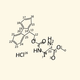 COC(=O)[C@@H](N)[C@@H](C)NC(=O)OCC1c2ccccc2-c2ccccc21.Cl